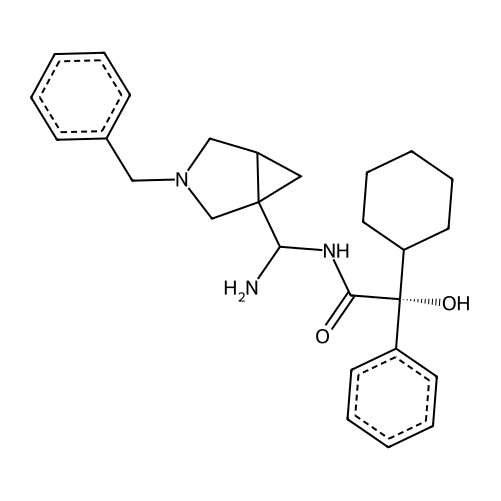 NC(NC(=O)[C@](O)(c1ccccc1)C1CCCCC1)C12CC1CN(Cc1ccccc1)C2